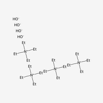 CC[N+](CC)(CC)CC.CC[N+](CC)(CC)CC.CC[N+](CC)(CC)CC.CC[N+](CC)(CC)CC.[OH-].[OH-].[OH-].[OH-]